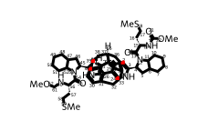 C=C1C=C([C@@H]2CC3CCCCC3N2C(=O)[C@H](CCSC)NC(=O)OC)NC=C1c1cc2ccc1CCC1=CC[C@H](CC2)C(c2c[nH]c([C@@H]3CC4CCCCC4N3C(=O)[C@H](CCSC)NCOC)n2)=C1